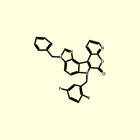 O=c1oc2ncccc2c2c3c4ncn(Cc5ccccc5)c4ccc3n(Cc3cc(F)ccc3F)c12